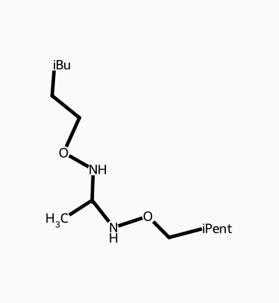 CCCC(C)CON[C](C)NOCCC(C)CC